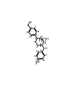 CCc1ccc(C2CCN(Cc3ccc(F)cc3)CC2)cc1.Cl